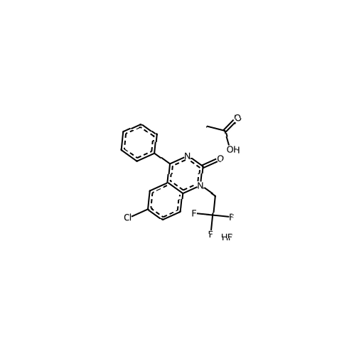 CC(=O)O.F.O=c1nc(-c2ccccc2)c2cc(Cl)ccc2n1CC(F)(F)F